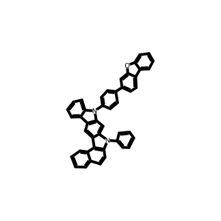 c1ccc(-n2c3cc4c(cc3c3c5ccccc5ccc32)c2ccccc2n4-c2ccc(-c3ccc4c(c3)oc3ccccc34)cc2)cc1